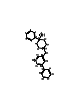 OC1(c2ccccc2)CCN(Cc2cncc(-c3ccccc3)c2)CC1